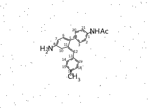 CC(=O)Nc1ccc(C2=CC=C(N)CC2=Cc2ccc(C)cc2)cc1